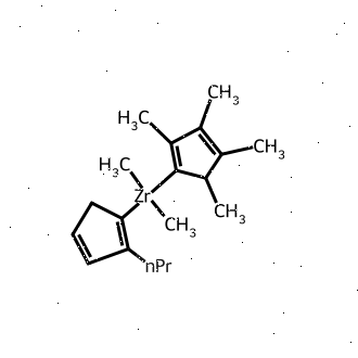 CCCC1=[C]([Zr]([CH3])([CH3])[C]2=C(C)C(C)=C(C)C2C)CC=C1